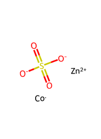 O=S(=O)([O-])[O-].[Co].[Zn+2]